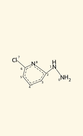 NNc1c[c]cc(Cl)n1